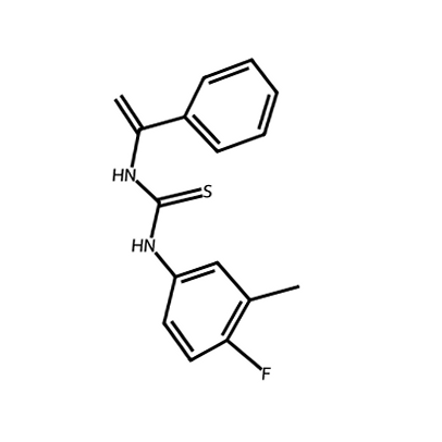 C=C(NC(=S)Nc1ccc(F)c(C)c1)c1ccccc1